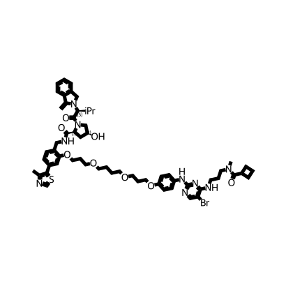 C=C1c2ccccc2CN1[C@H](C(=O)N1C[C@H](O)C[C@H]1C(=O)NCc1ccc(-c2scnc2C)cc1OCCCOCCCCOCCCOc1ccc(Nc2ncc(Br)c(NCCCN(C)C(=O)C3CCC3)n2)cc1)C(C)C